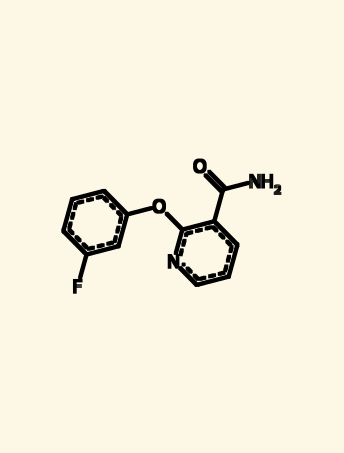 NC(=O)c1cccnc1Oc1cccc(F)c1